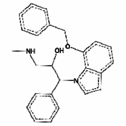 CNCC(O)C(c1ccccc1)n1ccc2cccc(OCc3ccccc3)c21